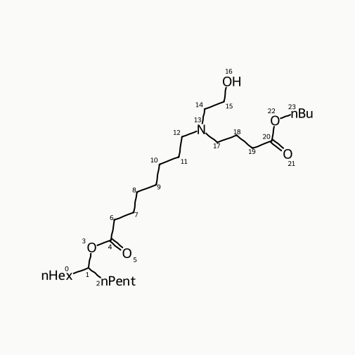 CCCCCCC(CCCCC)OC(=O)CCCCCCCN(CCO)CCCC(=O)OCCCC